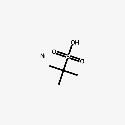 CC(C)(C)S(=O)(=O)O.[Ni]